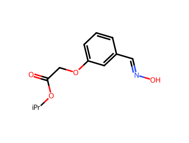 CC(C)OC(=O)COc1cccc(C=NO)c1